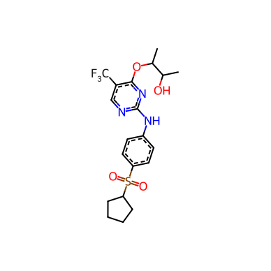 CC(O)C(C)Oc1nc(Nc2ccc(S(=O)(=O)C3CCCC3)cc2)ncc1C(F)(F)F